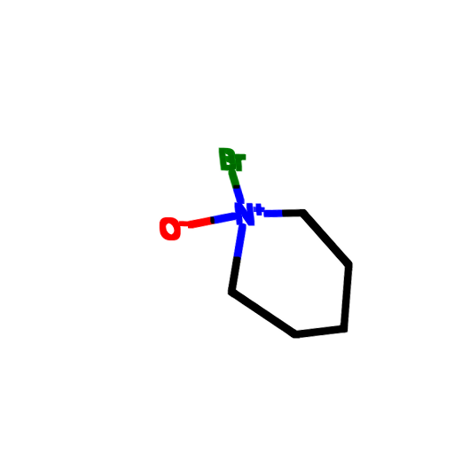 [O-][N+]1(Br)CCCCC1